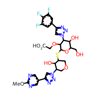 COc1ncc(-c2cn(C3COCC(SC4OC(CO)C(O)C(n5cc(-c6cc(F)c(F)c(F)c6)nn5)C4OCC(=O)O)C3O)nn2)cn1